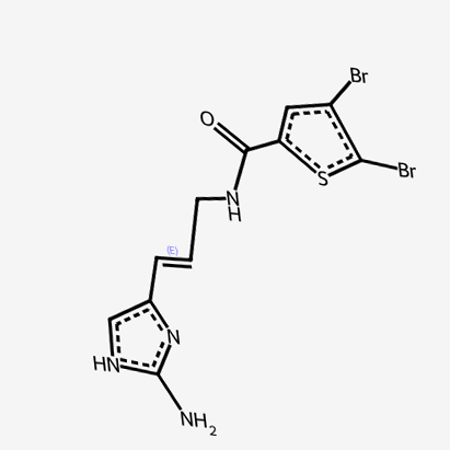 Nc1nc(/C=C/CNC(=O)c2cc(Br)c(Br)s2)c[nH]1